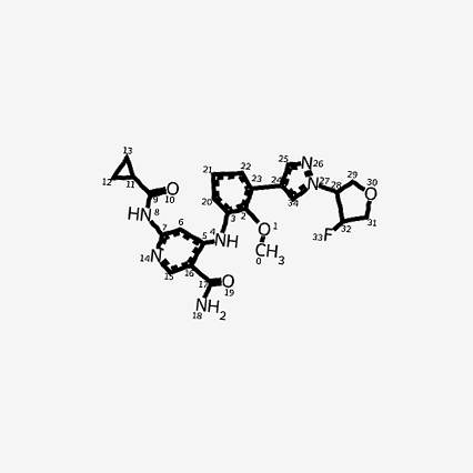 COc1c(Nc2cc(NC(=O)C3CC3)ncc2C(N)=O)cccc1-c1cnn(C2COCC2F)c1